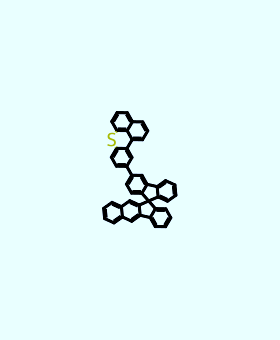 c1ccc2c(c1)-c1cc(-c3ccc4c(c3)-c3cccc5cccc(c35)S4)ccc1C21c2ccccc2-c2cc3ccccc3cc21